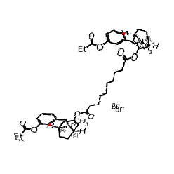 CCC(=O)Oc1cccc(C[N+]2(C)[C@@H]3CC[C@H]2CC(OC(=O)CCCCCCCCC(=O)OC2C[C@H]4CC[C@@H](C2)[N+]4(C)Cc2cccc(OC(=O)CC)c2)C3)c1.[Br-].[Br-]